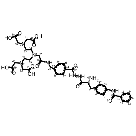 N[C@H](Cc1ccc(NC(=O)c2ccccc2)cc1)C(=O)NNC(=O)c1ccc(CNC(=O)CN(CCN(CC(=O)O)CC(=O)O)CCN(CC(=O)O)CC(=O)O)cc1